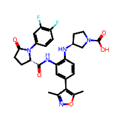 Cc1noc(C)c1-c1ccc(N[C@H]2CCN(C(=O)O)C2)c(NC(=O)[C@@H]2CCC(=O)N2c2ccc(F)c(F)c2)c1